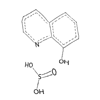 O=S(O)O.Oc1cccc2cccnc12